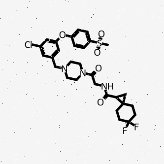 CS(=O)(=O)c1ccc(Oc2cc(Cl)cc(CN3CCN(C(=O)CNC(=O)C4CC45CCC(F)(F)CC5)CC3)c2)cc1